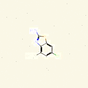 Nc1nc2c(S(=O)(=O)O)cc(Cl)cc2s1